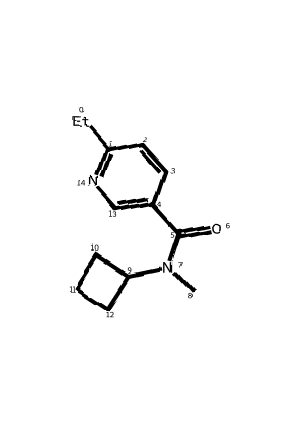 CCc1ccc(C(=O)N(C)C2CCC2)cn1